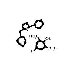 Cc1c(C(=O)O)cc(Br)cc1C(=O)O.c1ccc(Cc2ccc(-c3ccccc3)s2)cc1